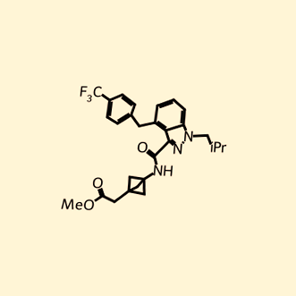 COC(=O)CC12CC(NC(=O)c3nn(CC(C)C)c4cccc(Cc5ccc(C(F)(F)F)cc5)c34)(C1)C2